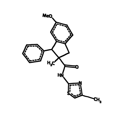 COc1ccc2c(c1)C(c1ccccc1)C(C)(C(=O)Nc1nc(C)cs1)C2